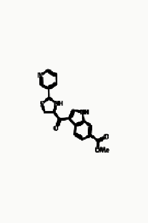 COC(=O)c1ccc2c(C(=O)C3CSC(c4cccnc4)N3)c[nH]c2c1